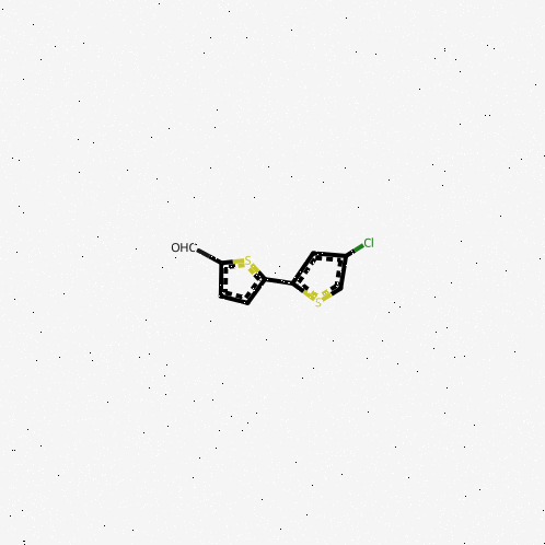 O=Cc1ccc(-c2cc(Cl)cs2)s1